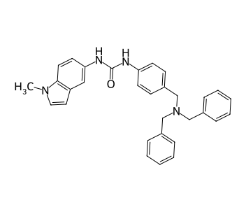 Cn1ccc2cc(NC(=O)Nc3ccc(CN(Cc4ccccc4)Cc4ccccc4)cc3)ccc21